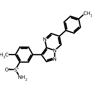 Cc1ccc(-c2cnc3c(-c4ccc(C)c([S+](N)[O-])c4)cnn3c2)cc1